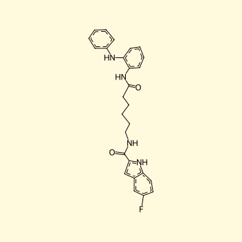 O=C(CCCCCNC(=O)c1cc2cc(F)ccc2[nH]1)Nc1ccccc1Nc1ccccc1